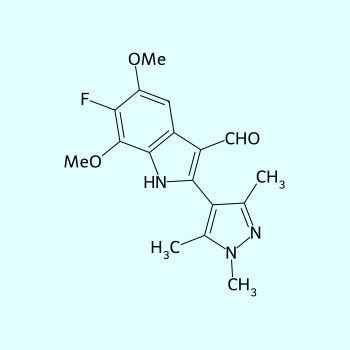 COc1cc2c(C=O)c(-c3c(C)nn(C)c3C)[nH]c2c(OC)c1F